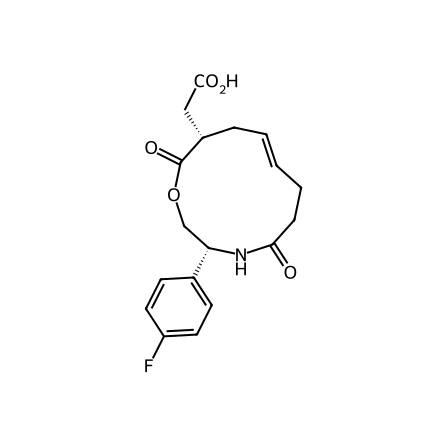 O=C(O)C[C@@H]1C/C=C/CCC(=O)N[C@H](c2ccc(F)cc2)COC1=O